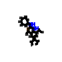 CCc1cc(C(CC)CC)cc(CC)c1NC(=S)NC1CCCCCC1